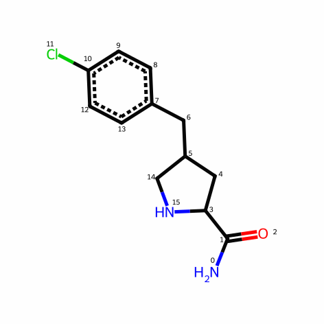 NC(=O)C1CC(Cc2ccc(Cl)cc2)CN1